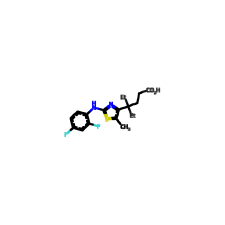 CCC(CC)(CCC(=O)O)c1nc(Nc2ccc(F)cc2F)sc1C